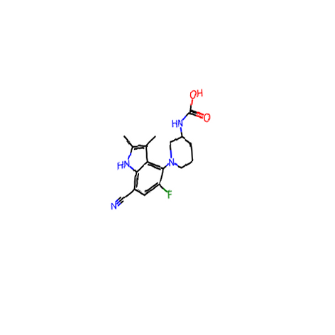 Cc1[nH]c2c(C#N)cc(F)c(N3CCCC(NC(=O)O)C3)c2c1C